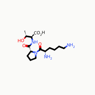 C[C@@H](O)[C@H](NC(=O)[C@H]1CCCN1C(=O)[C@@H](N)CCCCN)C(=O)O